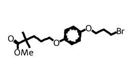 COC(=O)C(C)(C)CCCOc1ccc(OCCCBr)cc1